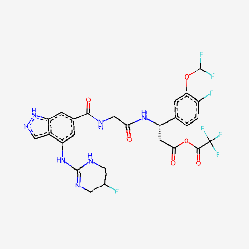 O=C(CNC(=O)c1cc(NC2=NCC(F)CN2)c2cn[nH]c2c1)N[C@@H](CC(=O)OC(=O)C(F)(F)F)c1ccc(F)c(OC(F)F)c1